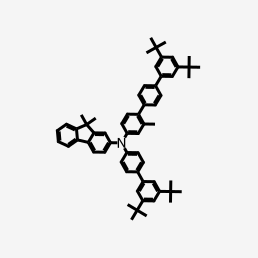 Cc1cc(N(c2ccc(-c3cc(C(C)(C)C)cc(C(C)(C)C)c3)cc2)c2ccc3c(c2)C(C)(C)c2ccccc2-3)ccc1-c1ccc(-c2cc(C(C)(C)C)cc(C(C)(C)C)c2)cc1